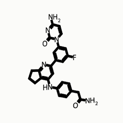 NC(=O)Cc1ccc(Nc2cc(-c3cc(F)cc(-n4ccc(N)nc4=O)c3)nc3c2CCC3)cc1